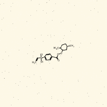 C=C[Si](CC)(CC)c1ccc(C(=O)OO[C]2CC(C)CCC2C)cc1